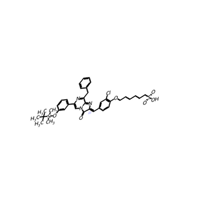 CC(C)(C)[Si](C)(C)Oc1cccc(C2=CN3C(=O)/C(=C/c4ccc(OCCCCCCS(=O)(=O)O)c(Cl)c4)N=C3C(Cc3ccccc3)=N2)c1